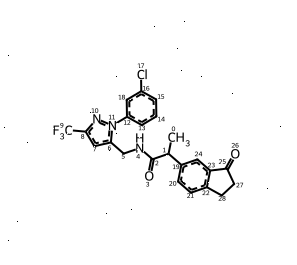 CC(C(=O)NCc1cc(C(F)(F)F)nn1-c1cccc(Cl)c1)c1ccc2c(c1)C(=O)CC2